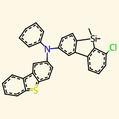 C[Si]1(C)c2ccc(N(c3ccccc3)c3ccc4sc5ccccc5c4c3)cc2-c2cccc(Cl)c21